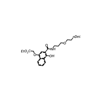 CCCCCCCCCCCCOCCCNC(=O)c1cc(OCC(=O)OCC)c2ccccc2c1O